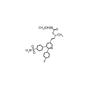 CC(C=Cc1cnc(-c2ccc(F)cc2)c(-c2ccc(S(N)(=O)=O)cc2)c1)SC(=S)N(C)O